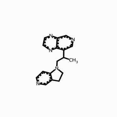 CC(CN1CCc2cnccc21)c1cncc2nccnc12